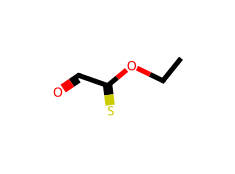 CCOC(=S)C=O